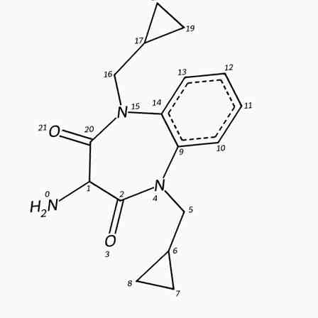 NC1C(=O)N(CC2CC2)c2ccccc2N(CC2CC2)C1=O